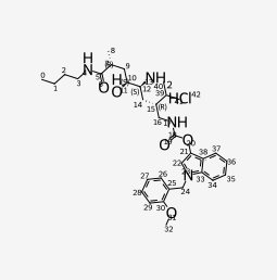 CCCCNC(=O)[C@H](C)C[C@H](O)[C@@H](N)C[C@@H](CNC(=O)Oc1cn(Cc2ccccc2OC)c2ccccc12)C(C)C.Cl